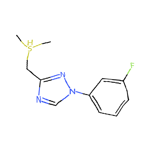 C[SH](C)Cc1ncn(-c2cccc(F)c2)n1